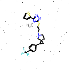 Cn1c(SCCCN2CCC3(CC3c3ccc(C(F)(F)F)cc3)C2)nnc1-c1cccs1